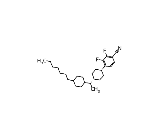 CCCCCCCC1CCC(C(C)[C@H]2CC[C@H](c3ccc(C#N)c(F)c3F)CC2)CC1